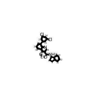 CCOc1c(C(=O)NC2CCc3ccccc32)cnc2c(-c3cc(Cl)cc(Cl)c3)cccc12